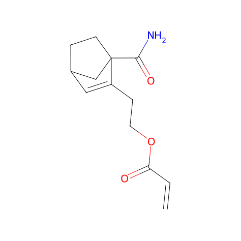 C=CC(=O)OCCC1=CC2CCC1(C(N)=O)C2